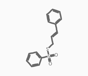 O=S(=O)(SC/C=C/c1ccccc1)c1ccccc1